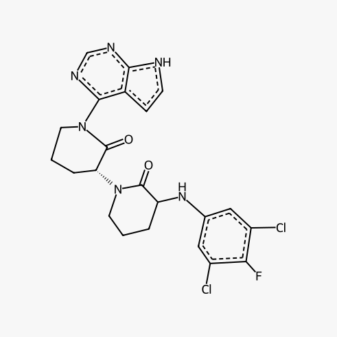 O=C1[C@H](N2CCCC(Nc3cc(Cl)c(F)c(Cl)c3)C2=O)CCCN1c1ncnc2[nH]ccc12